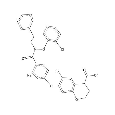 O=C([O-])C1CCOc2cc(Oc3ccc(C(=O)N(CCc4ccccc4)Oc4ccccc4Cl)cc3)c(Cl)cc21.[Na+]